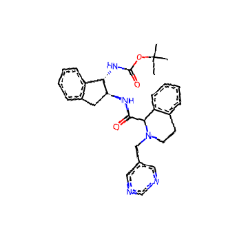 CC(C)(C)OC(=O)N[C@H]1c2ccccc2C[C@@H]1NC(=O)C1c2ccccc2CCN1Cc1cncnc1